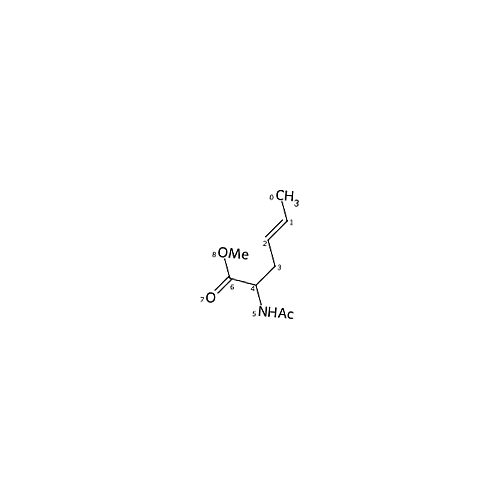 CC=CCC(NC(C)=O)C(=O)OC